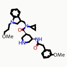 COCCCN1CC(CN(C(=O)[C@@H]2CNC[C@H](NC(=O)Cc3cccc(OC)c3)C2)C2CC2)c2ccccc21